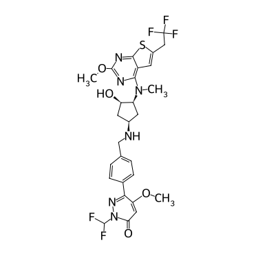 COc1nc(N(C)[C@H]2C[C@@H](NCc3ccc(-c4nn(C(F)F)c(=O)cc4OC)cc3)C[C@H]2O)c2cc(CC(F)(F)F)sc2n1